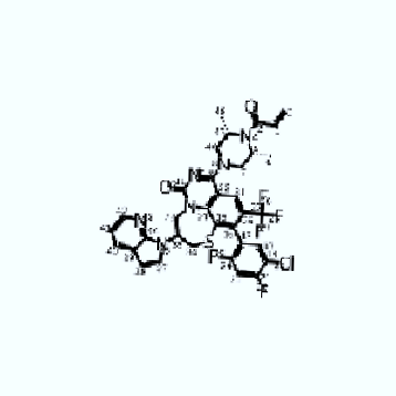 C=CC(=O)N1[C@H](C)CN(c2nc(=O)n3c4c(c(-c5cc(Cl)c(F)cc5F)c(C(F)(F)F)cc24)SCC(n2ccc4cccnc42)C3)C[C@@H]1C